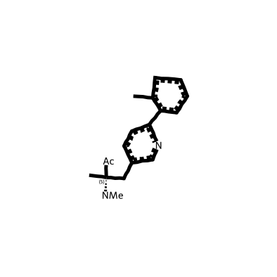 CN[C@@](C)(Cc1ccc(-c2ccccc2C)nc1)C(C)=O